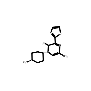 CC1C(c2ncco2)=NC(N)=CN1[C@H]1CC[C@H](C(F)(F)F)CC1